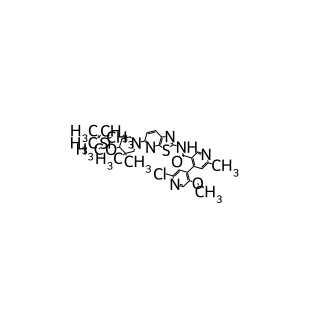 COc1cnc(Cl)cc1-c1cc(C)ncc1C(=O)Nc1nc2ccc(N3CCC(O[Si](C)(C)C(C)(C)C)C(C)(C)C3)nc2s1